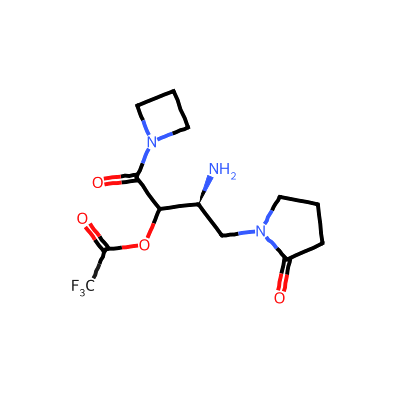 N[C@@H](CN1CCCC1=O)C(OC(=O)C(F)(F)F)C(=O)N1CCC1